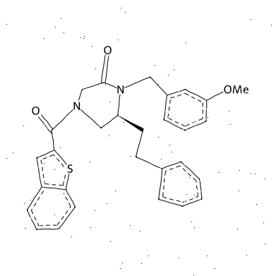 COc1cccc(CN2C(=O)CN(C(=O)c3cc4ccccc4s3)C[C@@H]2CCc2ccccc2)c1